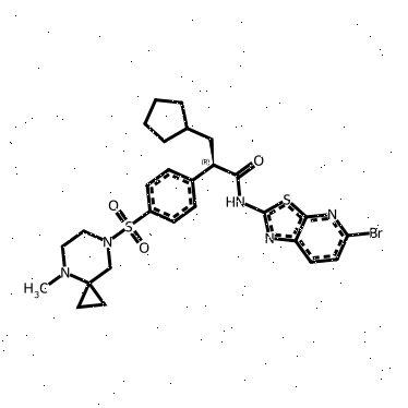 CN1CCN(S(=O)(=O)c2ccc([C@@H](CC3CCCC3)C(=O)Nc3nc4ccc(Br)nc4s3)cc2)CC12CC2